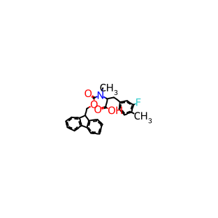 Cc1ccc(CC(C(=O)O)N(C)C(=O)OCC2c3ccccc3-c3ccccc32)cc1F